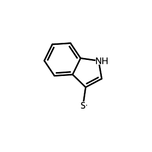 [S]c1c[nH]c2ccccc12